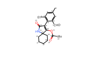 CCc1cc(C)cc(C=O)c1C1=C(OC(=O)C(C)(C)C)C2(CCCCC2)NC1=O